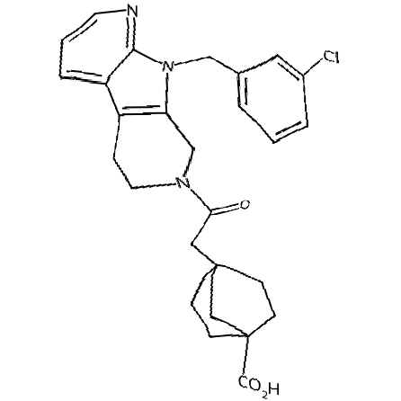 O=C(CC12CCC(C(=O)O)(CC1)C2)N1CCc2c(n(Cc3cccc(Cl)c3)c3ncccc23)C1